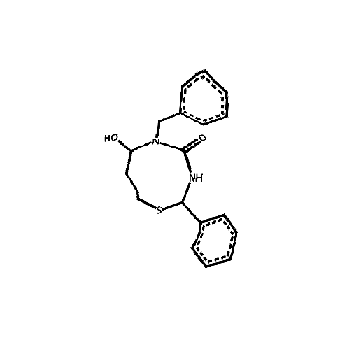 O=C1NC(c2ccccc2)SCCC(O)N1Cc1ccccc1